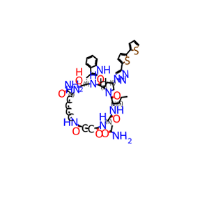 CC[C@H](C)[C@@H]1NC(=O)[C@H](CC(N)=O)NC(=O)CCC(=O)NCCCC[C@@H](C(N)=O)NC(O)[C@H](Cc2c[nH]c3ccccc23)NC(=O)[C@@H]2C[C@H](n3cc(-c4ccc(-c5cccs5)s4)nn3)CN2C1=O